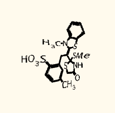 CSC1(C(Cc2cc(C)ccc2S(=O)(=O)O)=C2Sc3ccccc3N2C)NC(=O)CS1